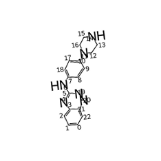 c1ccc2nc(Nc3ccc(N4CCNCC4)cc3)nnc2c1